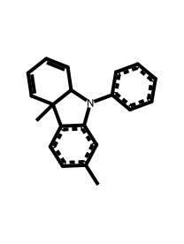 Cc1ccc2c(c1)N(c1ccccc1)C1C=CC=CC21C